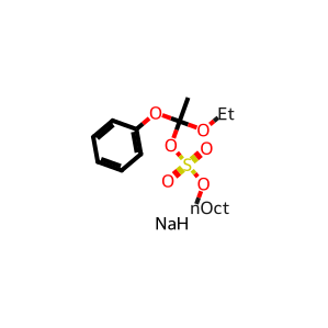 CCCCCCCCOS(=O)(=O)OC(C)(OCC)Oc1ccccc1.[NaH]